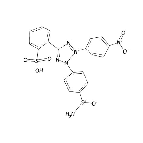 N[S+]([O-])c1ccc(-n2nc(-c3ccccc3S(=O)(=O)O)n[n+]2-c2ccc([N+](=O)[O-])cc2)cc1